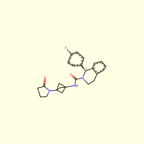 O=C(NC12CC(N3CCCC3=O)(C1)C2)N1CCc2ccccc2[C@@H]1c1ccc(F)cc1